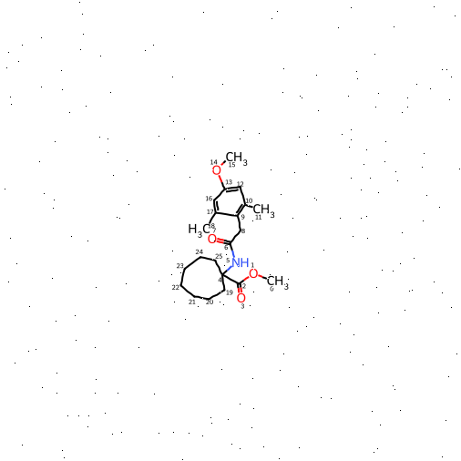 COC(=O)C1(NC(=O)Cc2c(C)cc(OC)cc2C)CCCCCCC1